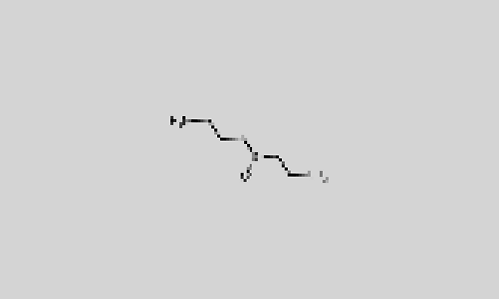 CCC[S@+]([O-])CCCN